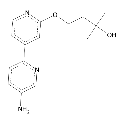 CC(C)(O)CCOc1cc(-c2ccc(N)cn2)ccn1